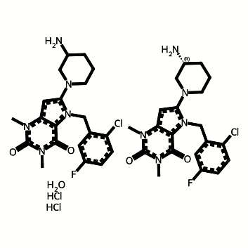 Cl.Cl.Cn1c(=O)c2c(cc(N3CCCC(N)C3)n2Cc2cc(F)ccc2Cl)n(C)c1=O.Cn1c(=O)c2c(cc(N3CCC[C@@H](N)C3)n2Cc2cc(F)ccc2Cl)n(C)c1=O.O